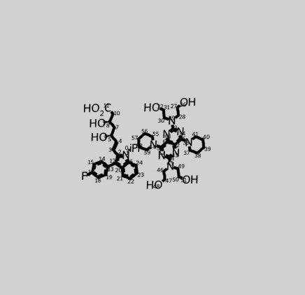 CC(C)n1c(/C=C/[C@@H](O)C[C@@H](O)CC(=O)O)c(-c2ccc(F)cc2)c2ccccc21.OCCN(CCO)c1nc(N2CCCCC2)c2nc(N(CCO)CCO)nc(N3CCCCC3)c2n1